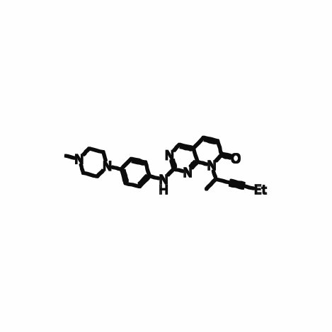 CCC#CC(C)n1c(=O)ccc2cnc(Nc3ccc(N4CCN(C)CC4)cc3)nc21